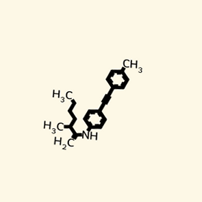 C=C(Nc1ccc(C#Cc2ccc(C)cc2)cc1)C(C)CCCC